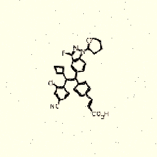 N#Cc1ccc(C(=C(c2ccc(C=CC(=O)O)cc2)c2ccc3c(c2)c(F)nn3C2CCCCO2)C2CCC2)c(Cl)c1